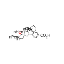 CCCCCCC1(CCCCCC)C(CC(C)C)(C(=O)CCCCC)C[C](c2ccc(C(=O)O)cc2)C1(C)C1CCCCC1